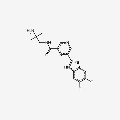 CC(C)(N)CNC(=O)c1cncc(-c2cc3cc(F)c(F)cc3[nH]2)n1